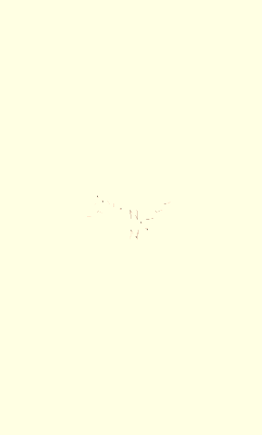 C\C=C/C=C(C)/C(C)=C/N(CCC)C(CN(C)CCOC1=CN=CC(F)=CC1)N(C)C